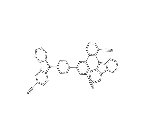 N#Cc1cc(-c2ccc(-n3c4ccccc4c4cc(C#N)ccc43)cc2)cc(-c2cccc(C#N)c2-n2c3ccccc3c3ccccc32)c1